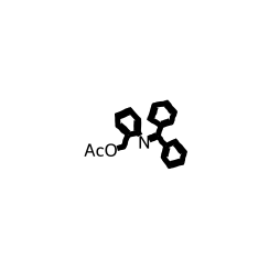 CC(=O)OCc1ccccc1N=C(c1ccccc1)c1ccccc1